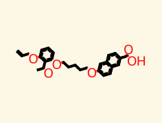 C=CCOc1cccc(OCCCCCOc2ccc3cc(C(=O)O)ccc3c2)c1C(C)=O